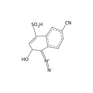 N#Cc1ccc2c(c1)C(S(=O)(=O)O)=CC(O)C2=[N+]=[N-]